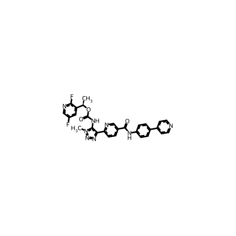 C[C@@H](OC(=O)Nc1c(-c2ccc(C(=O)Nc3ccc(-c4ccncc4)cc3)cn2)nnn1C)c1cc(F)cnc1F